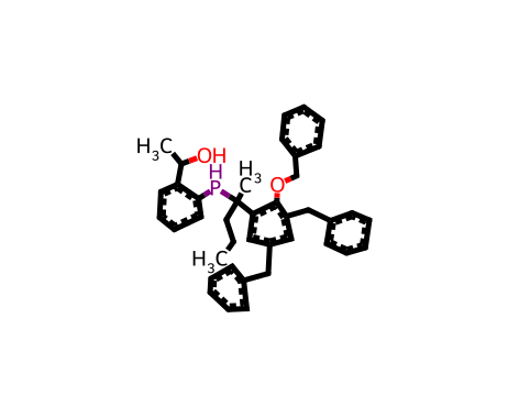 CCCC(C)(Pc1ccccc1C(C)O)c1cc(Cc2ccccc2)cc(Cc2ccccc2)c1OCc1ccccc1